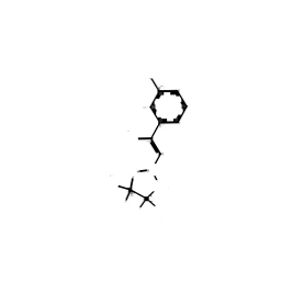 CC(=CB1OC(C)(C)C(C)(C)O1)c1cccc(Cl)c1